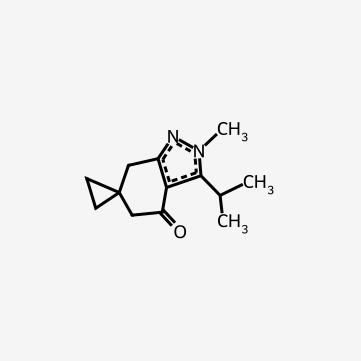 CC(C)c1c2c(nn1C)CC1(CC1)CC2=O